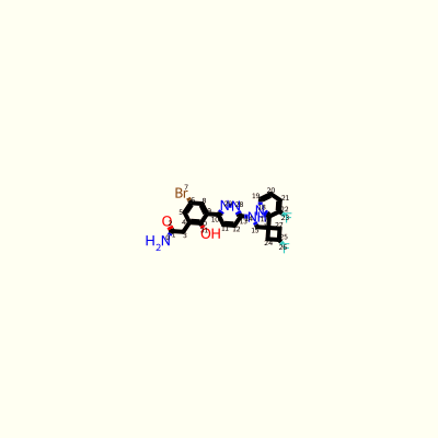 NC(=O)Cc1cc(Br)cc(-c2ccc(NCC3(c4ncccc4F)CC(F)C3)nn2)c1O